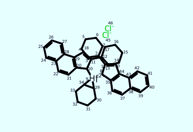 C1=C(C2CCCCC2)[CH]([Hf+2]2([CH]3C(C4CCCCC4)=Cc4c3ccc3ccccc43)[CH]3CCCC[CH]32)c2ccc3ccccc3c21.[Cl-].[Cl-]